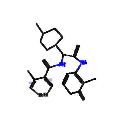 C=C1CC=CC(NC(=C)C(NC(=C)C(=C/CC)/C(C)=C\C(C)C)C2CCC(C)CC2)=C1C